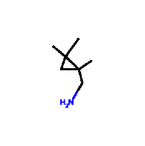 CC1(C)CC1(C)CN